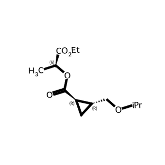 CCOC(=O)[C@H](C)OC(=O)[C@@H]1C[C@H]1COC(C)C